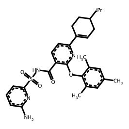 Cc1cc(C)c(Oc2nc(C3=CCC(C(C)C)CC3)ccc2C(=O)NS(=O)(=O)c2cccc(N)n2)c(C)c1